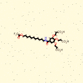 O=C(O)CCOC1[C@H](OCCC(=O)O)CC(C(=O)NCCCCCCCCCCCOC(=O)C(F)(F)F)C[C@H]1OCCC(=O)O